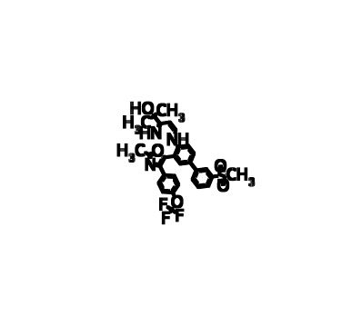 Cc1nc(-c2ccc(OC(F)(F)F)cc2)c(-c2cc(-c3cccc(S(C)(=O)=O)c3)ccc2N/C=C\C(=N)C(C)(C)O)o1